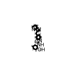 OC1CCCCC1Nc1nc2ccc(Cc3cnc4cccnn34)cc2o1